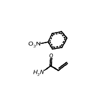 C=CC(N)=O.O=[N+]([O-])c1ccccc1